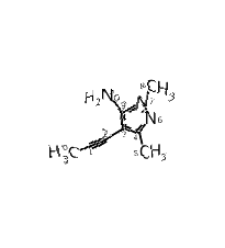 CC#Cc1c(C)nn(C)c1N